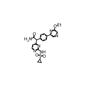 CCOc1cncc(-c2ccc(C(C(N)=O)c3ccnc(NS(=O)(=O)C4CC4)n3)cc2)n1